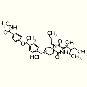 CCCCN1C(=O)[C@@H]([C@H](O)C(CC)CC)NC(=O)C12CCN(Cc1ccc(C(C)Oc3ccc(C(=O)NC)cc3)cc1)CC2.Cl